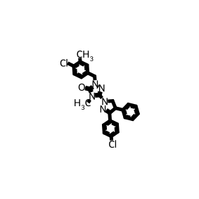 Cc1cc(Cn2nc(N3CC(c4ccccc4)C(c4ccc(Cl)cc4)=N3)n(C)c2=O)ccc1Cl